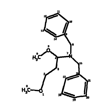 COCCC(OC)N(Cc1ccccc1)Cc1ccccc1